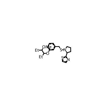 CCC(OC)C(CC)Oc1cccc(CSN2CCCC2c2nccs2)c1